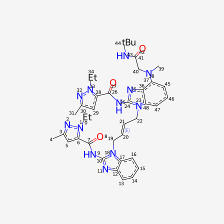 CCn1nc(C)cc1C(=O)Nc1nc2ccccc2n1C/C=C/Cn1c(NC(=O)c2cc(C)nn2CC)nc2c(N(C)CC(=O)NC(C)(C)C)cccc21